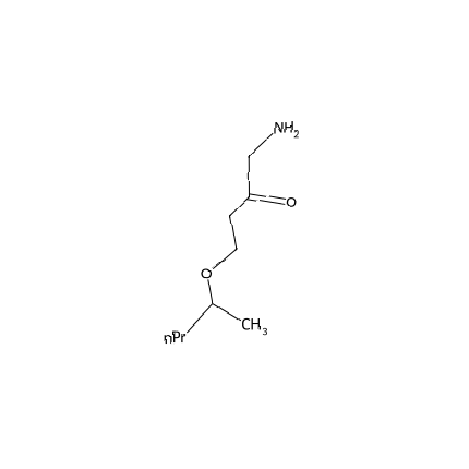 CCCC(C)OCCC(=O)CN